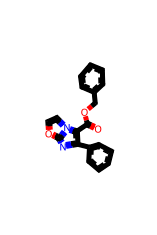 O=C(OCc1ccccc1)c1c(-c2ccccc2)nc2occn12